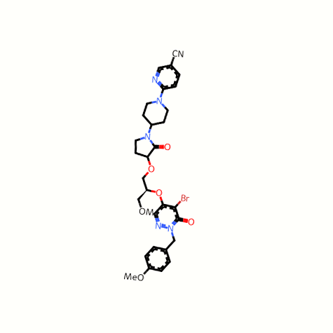 COC[C@@H](COC1CCN(C2CCN(c3ccc(C#N)cn3)CC2)C1=O)Oc1cnn(Cc2ccc(OC)cc2)c(=O)c1Br